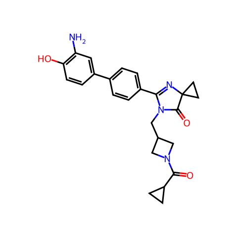 Nc1cc(-c2ccc(C3=NC4(CC4)C(=O)N3CC3CN(C(=O)C4CC4)C3)cc2)ccc1O